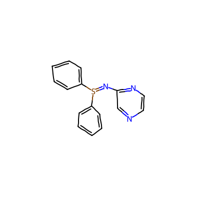 c1ccc(S(=Nc2cnccn2)c2ccccc2)cc1